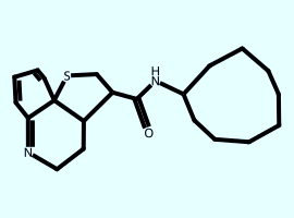 O=C(NC1CCCCCCCC1)C1CSC23C=CC=CC2=NCCC13